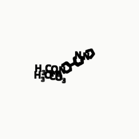 CC(C)(C)OC(=O)N1CC=C(c2ccc(N3CCCC3)nc2)CC1